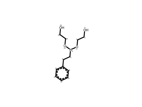 OCCON(CCc1ccccc1)OCCO